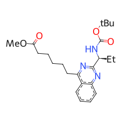 CC[C@H](NC(=O)OC(C)(C)C)c1nc(CCCCCC(=O)OC)c2ccccc2n1